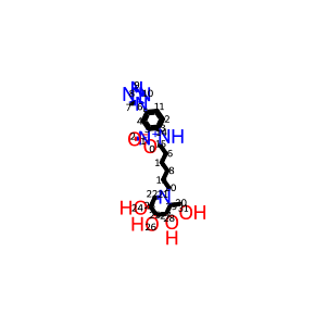 O=[N+]([O-])c1cc(-n2cnnn2)ccc1NCCCCCCN1CC(O)C(O)C(O)C1CO